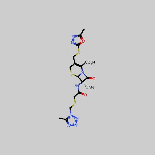 CO[C@@]1(NC(=O)CSCn2nnnc2C)C(=O)N2C(C(=O)O)=C(CSc3nnc(C)o3)CSC21